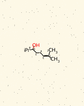 CC(C)=CCCC(O)C(C)C